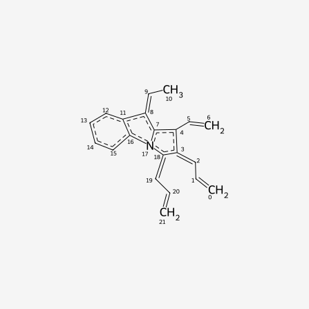 C=C/C=c1/c(C=C)c2/c(=C\C)c3ccccc3n2/c1=C/C=C